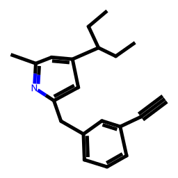 C#Cc1cccc(Cc2cc(C(CC)CC)cc(C)n2)c1